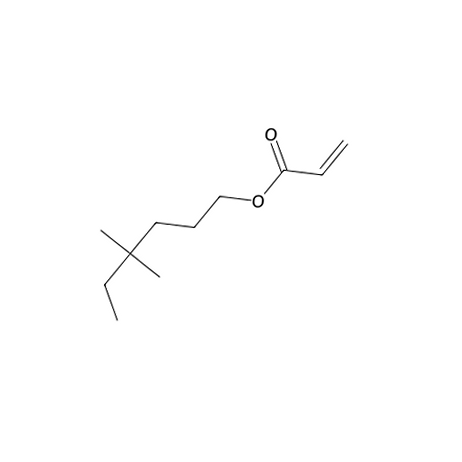 C=CC(=O)OCCCC(C)(C)CC